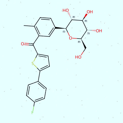 Cc1ccc([C@@H]2O[C@H](CO)[C@@H](O)[C@H](O)[C@H]2O)cc1C(=O)c1ccc(-c2ccc(F)cc2)s1